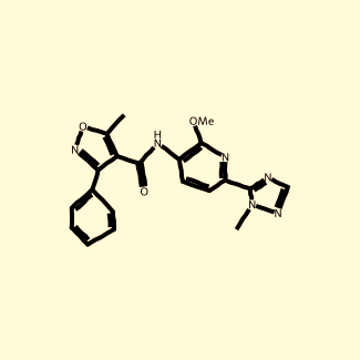 COc1nc(-c2ncnn2C)ccc1NC(=O)c1c(-c2ccccc2)noc1C